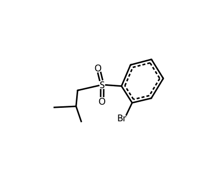 CC(C)CS(=O)(=O)c1ccccc1Br